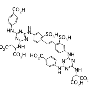 O=C(O)CC(Nc1nc(Nc2ccc(C(=O)O)cc2)nc(Nc2ccc(/C=C/c3ccc(Nc4nc(Nc5ccc(C(=O)O)cc5)nc(NC(CC(=O)O)C(=O)O)n4)cc3S(=O)(=O)O)c(S(=O)(=O)O)c2)n1)C(=O)O